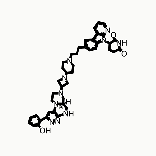 O=C1CCC(n2c3ccc(CCCN4CCC(N5CC(N6CCN7c8cc(-c9ccccc9O)nnc8NC[C@H]7C6)C5)CC4)cc3c3cccnc32)C(=O)N1